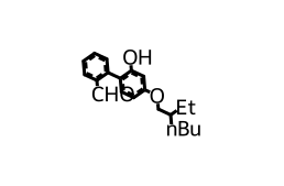 CCCCC(CC)COc1ccc(-c2ccccc2C=O)c(O)c1